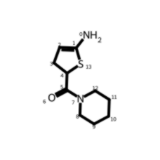 NC1=CCC(C(=O)N2CCCCC2)S1